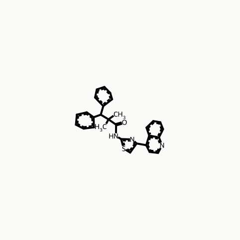 CC(C)(C(=O)Nc1nc(-c2ccnc3ccccc23)cs1)C(c1ccccc1)c1ccccc1